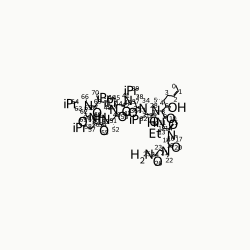 C/C=C\C[C@@H](C)[C@H](O)C(C(=O)N[C@@H](CC)C(=O)N(C)CC(=O)N(C)CC(N)=O)N(C)C(=O)[C@H](C(C)C)N(C)C(=O)[C@@H](CC(C)C)N(C)C(=O)[C@@H](CC(C)C)N(C)C(=O)[C@H](C)NC(=O)[C@@H](CC(C)C)NC(=O)[C@H](CC(C)C)N(C)C(=O)[C@@H](C)C(C)C